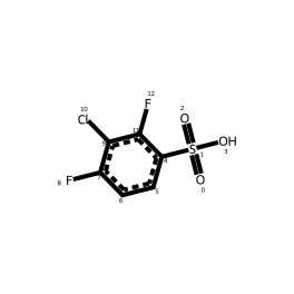 O=S(=O)(O)c1ccc(F)c(Cl)c1F